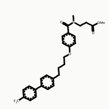 COC(=O)CCN(C)C(=O)c1ccc(OCCCCc2ccc(-c3ccc(C(F)(F)F)cc3)cc2)cc1